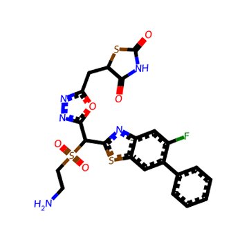 NCCS(=O)(=O)C(c1nnc(CC2SC(=O)NC2=O)o1)c1nc2cc(F)c(-c3ccccc3)cc2s1